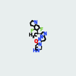 CC(c1c(F)cc2ncccc2c1F)c1cnc2ccc(N3CCNCCC3=O)nn12